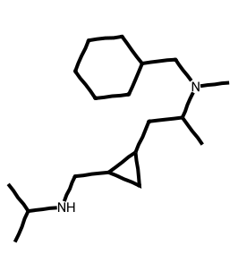 CC(C)NCC1CC1CC(C)N(C)CC1CCCCC1